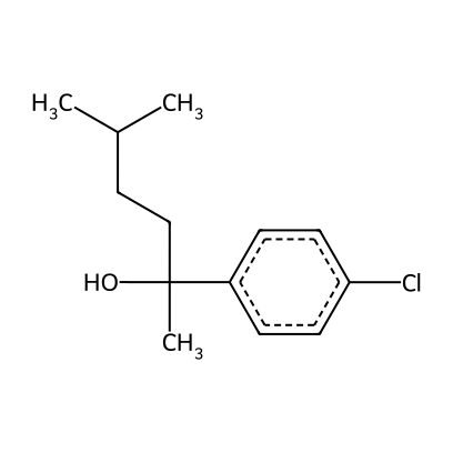 CC(C)CCC(C)(O)c1ccc(Cl)cc1